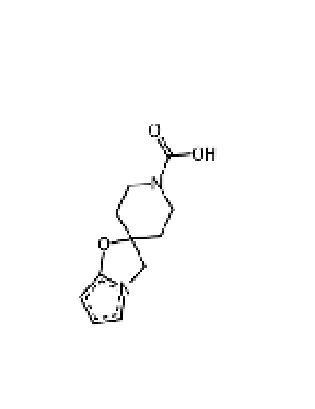 O=C(O)N1CCC2(CC1)Cn1cccc1O2